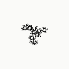 N#Cc1cc(-c2ccccc2)ccc1-c1cc(-c2ccc3sc4ccccc4c3c2)cc(-c2ccc3sc4ccccc4c3c2)c1C#N